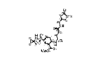 COC(=O)c1cc(S(=O)(=O)NC2(C)CC2)ccc1N[C@H](C)CNC(=O)NCC1CC(=O)N(C)C1